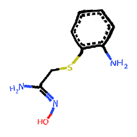 NC(CSc1ccccc1N)=NO